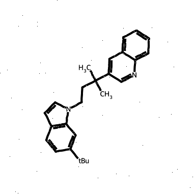 CC(C)(C)c1ccc2ccn(CCC(C)(C)c3cnc4ccccc4c3)c2c1